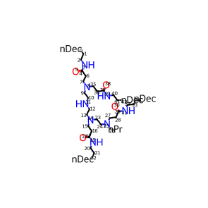 CCCCCCCCCCCCNC(=O)CCN(CCNCCN(CCC(=O)NCCCCCCCCCCCC)CCN(CCC)CCC(=O)NCCCCCCCCCCCC)CCC(=O)NCCCCCCCCCCCC